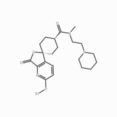 CCOc1ccc2c(n1)C(=O)O[C@]21CC[C@H](C(=O)N(C)CCN2CCCCC2)CC1